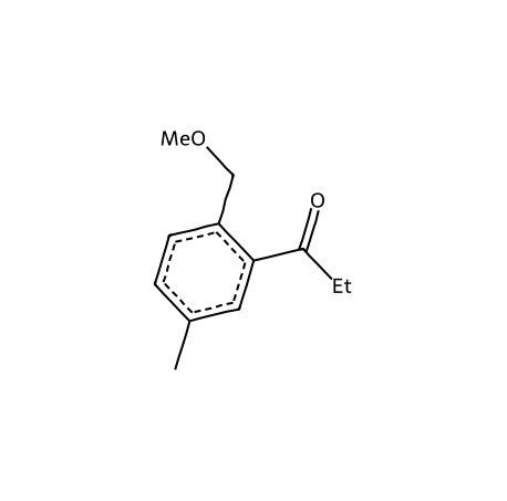 CCC(=O)c1cc(C)ccc1COC